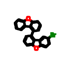 Brc1ccc2oc3cccc(-c4cccc5oc6ccccc6c45)c3c2c1